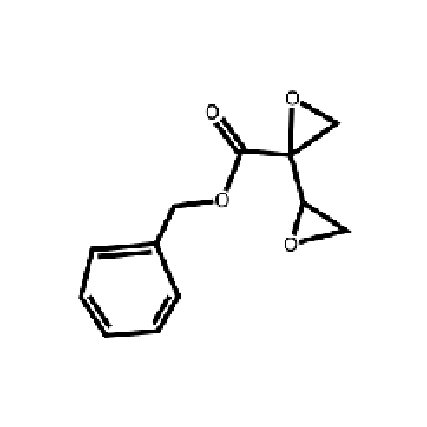 O=C(OCc1ccccc1)C1(C2CO2)CO1